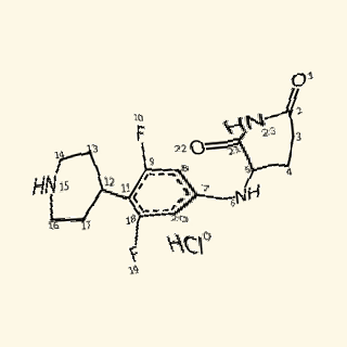 Cl.O=C1CCC(Nc2cc(F)c(C3CCNCC3)c(F)c2)C(=O)N1